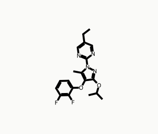 CCc1cnc(-n2nc(OC(C)C)c(Oc3cccc(F)c3F)c2C)nc1